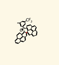 Cc1cc(C(F)(F)F)cc(P(=O)(c2ccc3ccc4cccc5ccc2c3c45)c2ccc3ccc4cccc5ccc2c3c45)c1